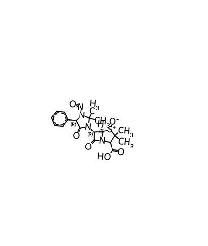 CC1(C)N(N=O)[C@H](c2ccccc2)C(=O)N1[C@@H]1C(=O)N2C(C(=O)O)C(C)(C)[S+]([O-])[C@H]12